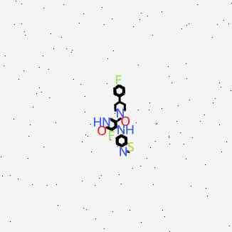 O=C(c1c[nH]c(=O)c(F)c1Nc1ccc2ncsc2c1)N1CCC(c2ccc(F)cc2)CC1